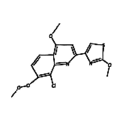 COOc1ccc2c(OC)cc(-c3csc(OC)n3)nc2c1Cl